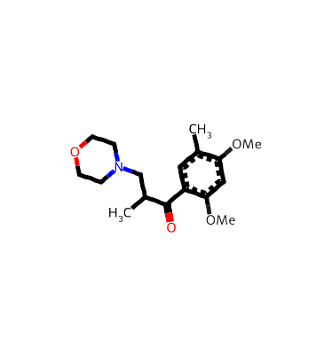 COc1cc(OC)c(C(=O)C(C)CN2CCOCC2)cc1C